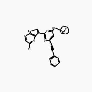 Clc1cnc2[nH]cc(-c3nc(C#Cc4ccccc4)cc(NC4CC5CCC4CC5)n3)c2n1